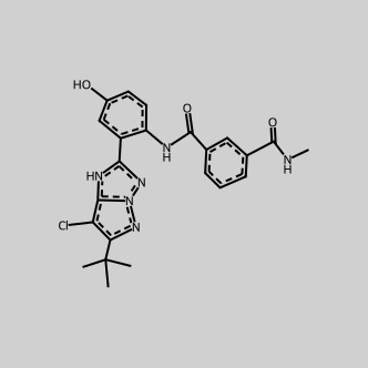 CNC(=O)c1cccc(C(=O)Nc2ccc(O)cc2-c2nn3nc(C(C)(C)C)c(Cl)c3[nH]2)c1